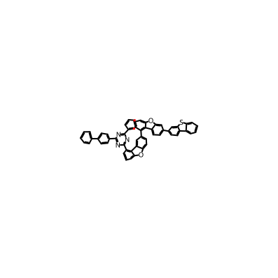 c1ccc(-c2ccc(-c3nc(-c4ccccc4)nc(-c4cccc5oc6ccc(-c7cccc8oc9cc(-c%10ccc%11c(c%10)sc%10ccccc%10%11)ccc9c78)cc6c45)n3)cc2)cc1